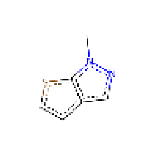 Cn1n[c]c2ccsc21